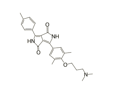 Cc1ccc(C2=C3C(=O)NC(c4cc(C)c(OCCCN(C)C)c(C)c4)=C3C(=O)N2)cc1